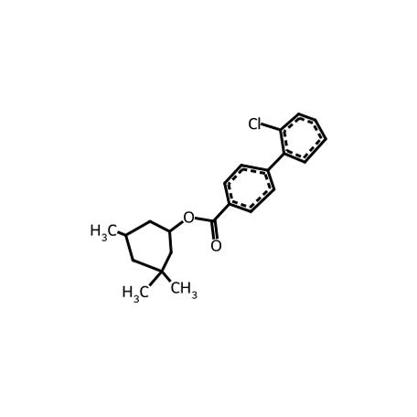 CC1CC(OC(=O)c2ccc(-c3ccccc3Cl)cc2)CC(C)(C)C1